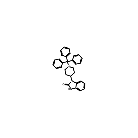 O=c1[nH]c2ccccc2n1C1CCN(C(c2ccccc2)(c2ccccc2)c2ccccc2)CC1